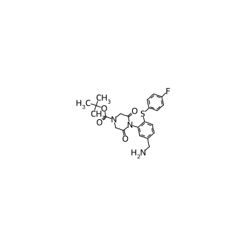 CC(C)(C)OC(=O)N1CC(=O)N(c2cc(CN)ccc2Sc2ccc(F)cc2)C(=O)C1